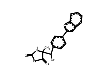 CC1(C(O)c2ccc(-c3cc4ccccc4s3)cc2)NC(=O)NC1=O